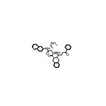 NCC[C@H](NC(=O)[C@@H]1Cc2ccccc2CN1C(O)CCC(=O)c1ccccc1)C(=O)Nc1ccc2ncccc2c1